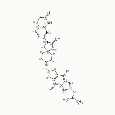 CN(C)Cc1nc2c(F)c3c(c(F)c2[nH]1)CC(CN1CCC2(CC1)CN(c1cnc4c(n1)NC(=O)CO4)C(=O)O2)C3